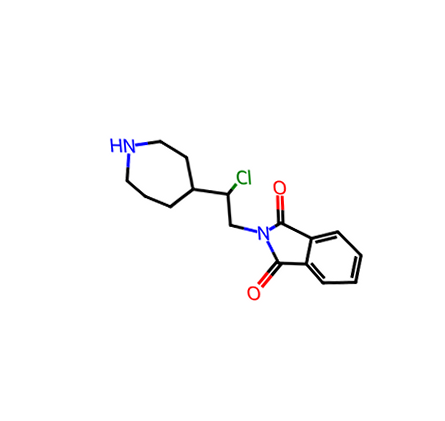 O=C1c2ccccc2C(=O)N1CC(Cl)C1CCCNCC1